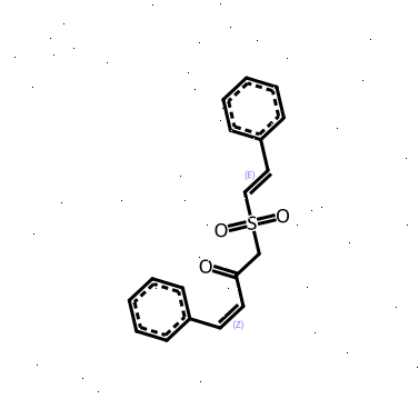 O=C(/C=C\c1ccccc1)CS(=O)(=O)/C=C/c1ccccc1